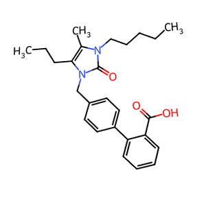 CCCCCn1c(C)c(CCC)n(Cc2ccc(-c3ccccc3C(=O)O)cc2)c1=O